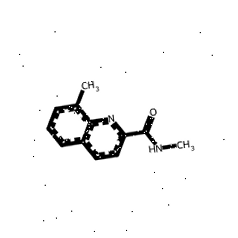 CNC(=O)c1ccc2cccc(C)c2n1